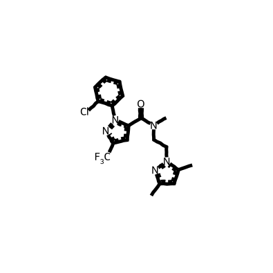 Cc1cc(C)n(CCN(C)C(=O)c2cc(C(F)(F)F)nn2-c2ccccc2Cl)n1